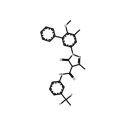 COc1c(C)cc(N2N=C(C)C(C(=O)Nc3cccc(C(C)(F)F)c3)C2=O)cc1-c1ccccc1